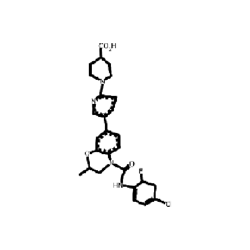 CC1CN(C(=O)NC2=CC=C(Cl)CC2F)c2ccc(-c3ccc(N4CCC(C(=O)O)CC4)nc3)cc2O1